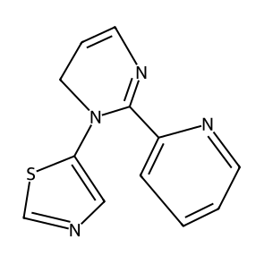 C1=CN=C(c2ccccn2)N(c2cncs2)C1